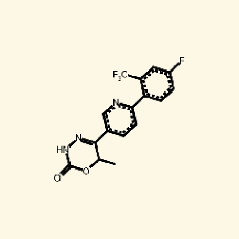 CC1OC(=O)NN=C1c1ccc(-c2ccc(F)cc2C(F)(F)F)nc1